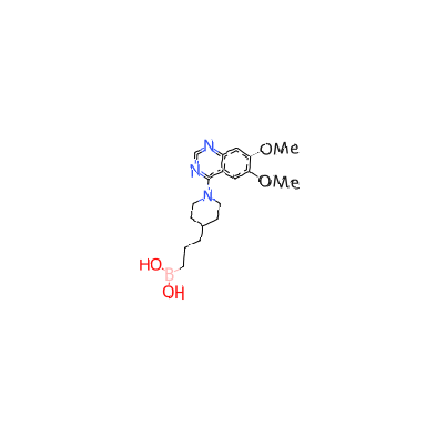 COc1cc2ncnc(N3CCC(CCCB(O)O)CC3)c2cc1OC